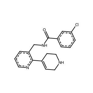 O=C(NCc1cccnc1C1=CCNCC1)c1cccc(Cl)c1